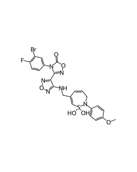 COc1ccc(N2CC=CC(CNc3nonc3-c3noc(=O)n3-c3ccc(F)c(Br)c3)=CS2(O)O)cc1